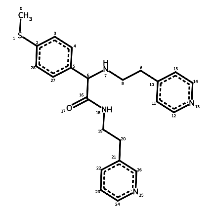 CSc1ccc(C(NCCc2ccncc2)C(=O)NCCc2cccnc2)cc1